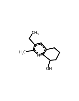 CCc1cc2c(nc1C)C(O)CCC2